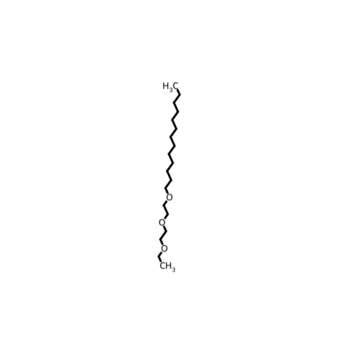 CCCCCCCCCCCCCOCCOCCOCC